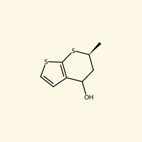 C[C@H]1CC(O)c2ccsc2S1